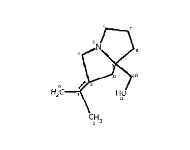 CC(C)=C1CN2CCCC2(CO)C1